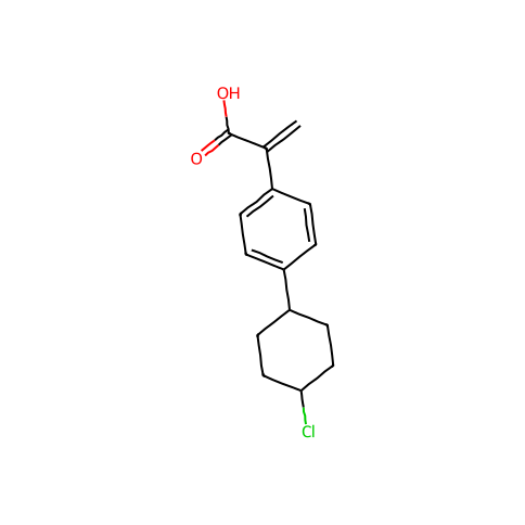 C=C(C(=O)O)c1ccc(C2CCC(Cl)CC2)cc1